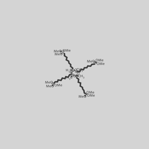 CO[Si](CCCCCCCCC[Si]1(C)O[Si](C)(CCCCCCCCC[Si](OC)(OC)OC)O[Si](C)(CCCCCCCCC[Si](OC)(OC)OC)O[Si](C)(CCCCCCCCC[Si](OC)(OC)OC)O1)(OC)OC